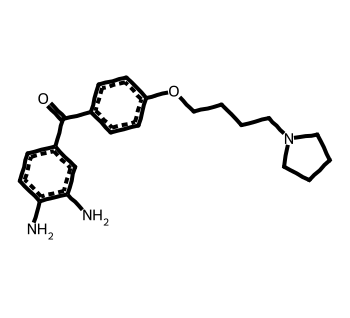 Nc1ccc(C(=O)c2ccc(OCCCCN3CCCC3)cc2)cc1N